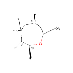 CC(C)C1O[C@@H](C)[C@H](C)C(C)(C)[C@H]1C